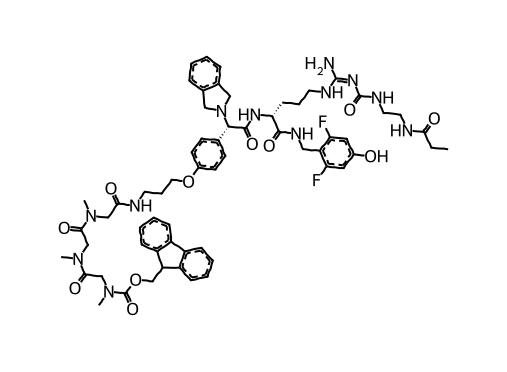 CCC(=O)NCCNC(=O)/N=C(/N)NCCC[C@@H](NC(=O)[C@H](c1ccc(OCCCNC(=O)CN(C)C(=O)CN(C)C(=O)CN(C)C(=O)OCC2c3ccccc3-c3ccccc32)cc1)N1Cc2ccccc2C1)C(=O)NCc1c(F)cc(O)cc1F